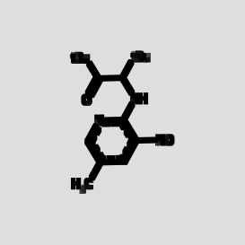 Cc1cnc(NC(C(=O)C(C)(C)C)C(C)(C)C)c(N=O)c1